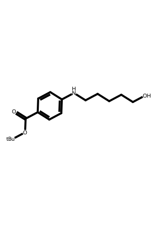 CC(C)(C)OC(=O)c1ccc(NCCCCCO)cc1